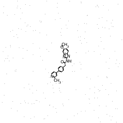 COc1ccc2nc(NC(=O)Cc3ccc(-c4ccnc(C)c4)cc3)nn2c1